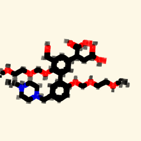 COCCOCOc1ccc(CN2CCN(C)CC2)cc1-c1cc(C(CC(=O)O)C(=O)O)cc(C=O)c1OCOCCOC